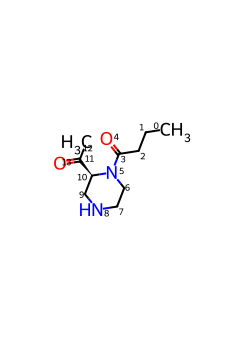 CCCC(=O)N1CCNC[C@H]1C(C)=O